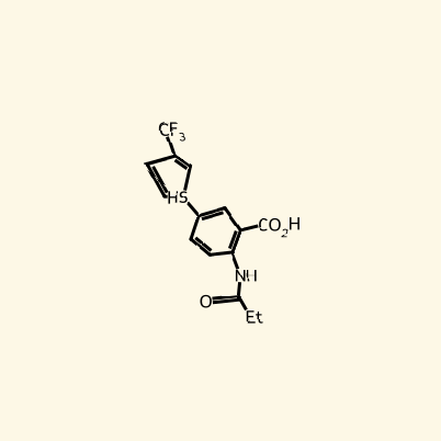 CCC(=O)Nc1ccc([SH]2C=CC(C(F)(F)F)=C2)cc1C(=O)O